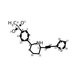 CS(=O)(=O)c1ccc(C2CCCC(C#Cc3cccs3)N2)cc1